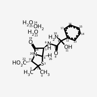 CC1(C)S[C@@H]2[C@H](NC(=O)C(N)(O)c3ccccc3)C(=O)N2[C@H]1C(=O)O.O.O.O